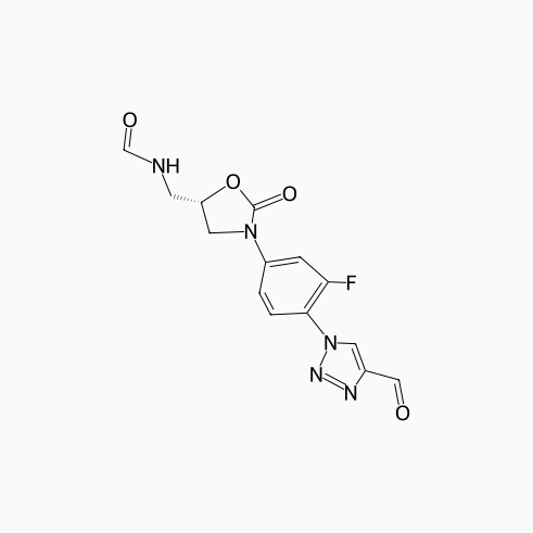 O=CNC[C@H]1CN(c2ccc(-n3cc(C=O)nn3)c(F)c2)C(=O)O1